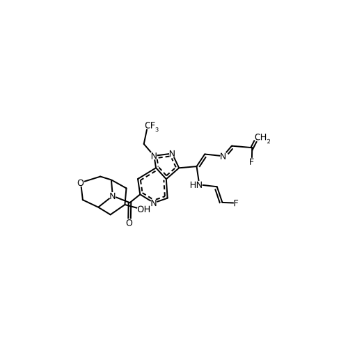 C=C(F)/C=N/C=C(\N/C=C/F)c1nn(CC(F)(F)F)c2cc(C(=O)N3C4COCC3CC(O)C4)ncc12